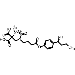 CCCC(=N)c1ccc(OC(=O)CCCN(CC(SC)(C(=O)O)C(=O)O)[SH](=O)=O)cc1